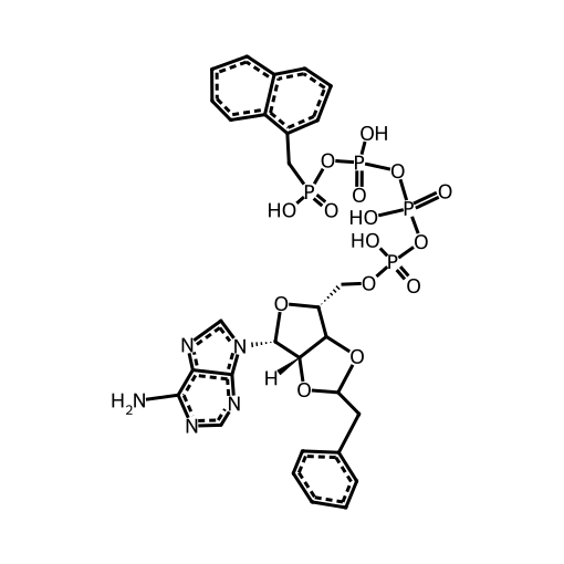 Nc1ncnc2c1ncn2[C@@H]1O[C@H](COP(=O)(O)OP(=O)(O)OP(=O)(O)OP(=O)(O)Cc2cccc3ccccc23)C2OC(Cc3ccccc3)O[C@@H]21